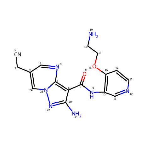 N#CCc1cnc2c(C(=O)Nc3cnccc3OCCN)c(N)nn2c1